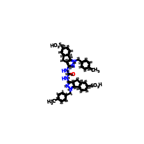 Cc1ccc(Cn2nc(NC(=O)Nc3nn(Cc4ccc(C)cc4)c4c3Cc3cc(S(=O)(=O)O)ccc3-4)c3c2-c2ccc(S(=O)(=O)O)cc2C3)cc1